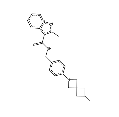 Cc1nn2ccccc2c1C(=O)NCc1ccc(N2CC3(CC(F)C3)C2)cc1